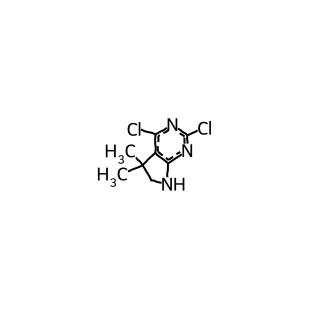 CC1(C)CNc2nc(Cl)nc(Cl)c21